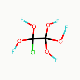 FOC(Cl)(OF)C(OF)(OF)OF